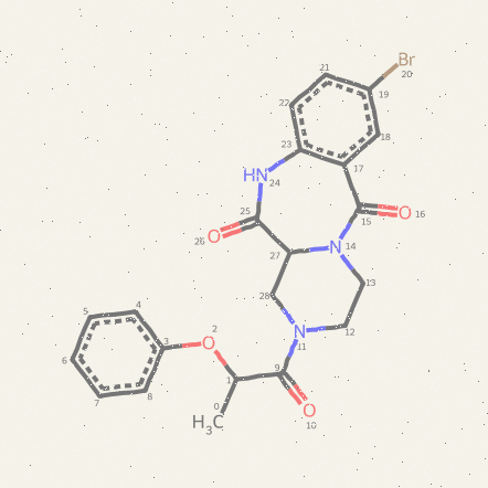 CC(Oc1ccccc1)C(=O)N1CCN2C(=O)c3cc(Br)ccc3NC(=O)C2C1